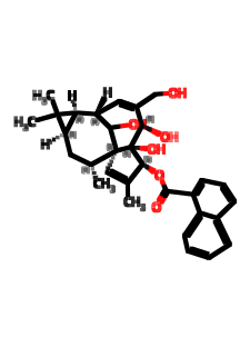 CC1=C[C@]23C(O)[C@@H](C=C(CO)[C@@H](O)[C@]2(O)[C@H]1OC(=O)c1cccc2ccccc12)[C@H]1[C@@H](C[C@H]3C)C1(C)C